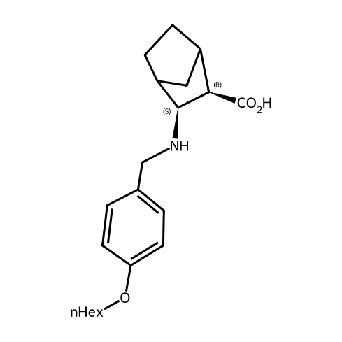 CCCCCCOc1ccc(CN[C@H]2C3CCC(C3)[C@H]2C(=O)O)cc1